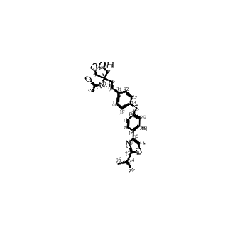 CC(=O)NC(CO)(CO)CCc1ccc(Sc2ccc(-c3coc(C(C)C)n3)cc2)cc1